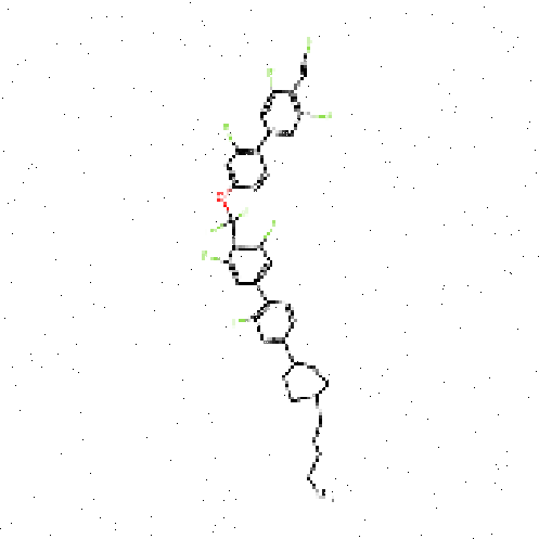 CCCCCC1CCC(c2ccc(-c3cc(F)c(C(F)(F)Oc4ccc(-c5cc(F)c(/C=C/F)c(F)c5)c(F)c4)c(F)c3)c(F)c2)CC1